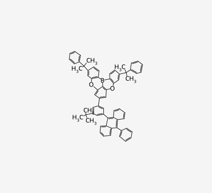 CC(C)(C)c1cc(-c2cc3c4c(c2)Oc2cc(C(C)(C)c5ccccc5)ccc2B4c2ccc(C(C)(C)c4ccccc4)cc2O3)cc(-c2c3ccccc3c(-c3ccccc3)c3ccccc23)c1